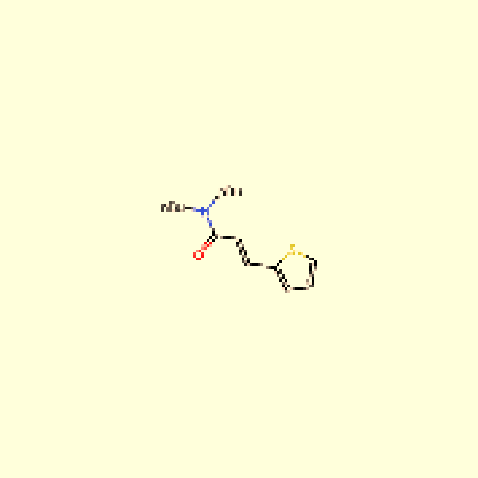 CCCCN(CCCC)C(=O)C=Cc1cccs1